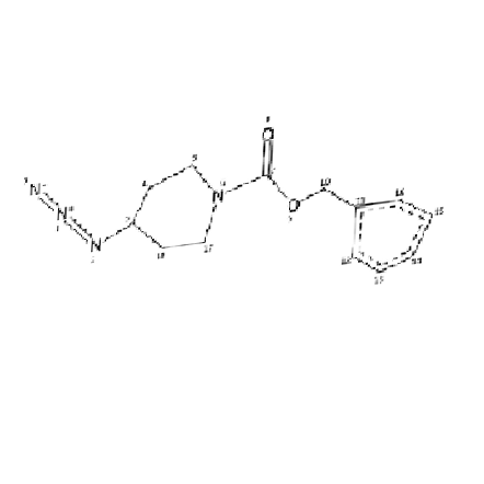 [N-]=[N+]=NC1CCN(C(=O)OCc2ccccc2)CC1